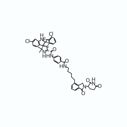 CC1(C)N[C@@H](C(=O)Nc2ccc(C(=O)NCCCCCc3cccc4c3CN(C3CCC(=O)NC3=O)C4=O)cc2)[C@H](c2cccc(Cl)c2F)[C@]12C(=O)Nc1cc(Cl)ccc12